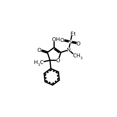 CCS(=O)(=O)N(C)C1=C(O)C(=O)C(C)(c2ccccc2)O1